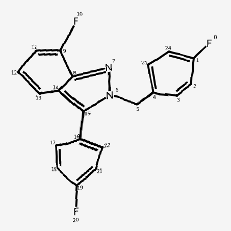 Fc1ccc(Cn2nc3c(F)cccc3c2-c2ccc(F)cc2)cc1